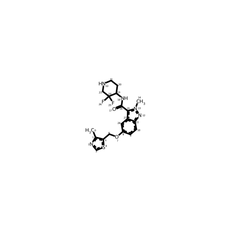 Cc1ncsc1COc1ccc2nn(C)c(C(=O)NC3CCNCC3(F)F)c2c1